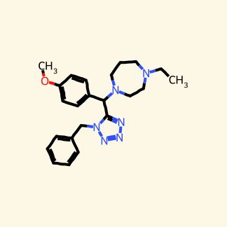 CCN1CCCN(C(c2ccc(OC)cc2)c2nnnn2Cc2ccccc2)CC1